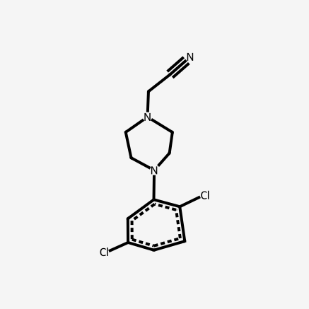 N#CCN1CCN(c2cc(Cl)ccc2Cl)CC1